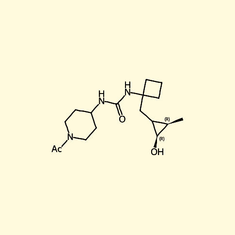 CC(=O)N1CCC(NC(=O)NC2(CC3[C@@H](C)[C@H]3O)CCC2)CC1